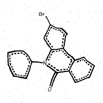 O=c1c2ccccc2c2ccc(Br)cc2n1-c1ccccc1